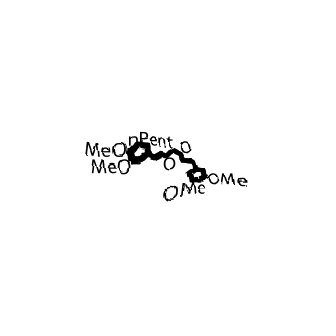 CCCCCC(C(=O)/C=C/c1ccc(OC)c(OC)c1)C(=O)/C=C/c1ccc(OC)c(OC)c1